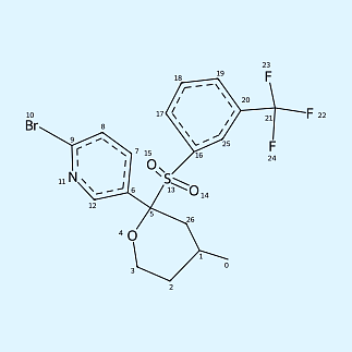 CC1CCOC(c2ccc(Br)nc2)(S(=O)(=O)c2cccc(C(F)(F)F)c2)C1